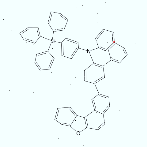 c1ccc(-c2cc(-c3ccc4ccc5oc6ccccc6c5c4c3)ccc2N(c2ccccc2)c2ccc([Si](c3ccccc3)(c3ccccc3)c3ccccc3)cc2)cc1